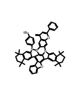 C=C1C=C(c2ccccc2)Oc2cc3c(cc21)B1c2c(c4c5ccccc5oc4c4c5cc6c(cc5n-3c24)C(C)(C)CCC6(C)C)-c2cc3c(cc2N1c1ccc(C(C)(C)C)cc1)C(C)(C)CCC3(C)C